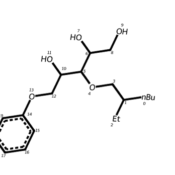 CCCCC(CC)COC(C(O)CO)C(O)COc1ccccc1